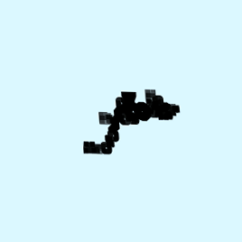 CCC(CCOCCOC)c1cc(O)c(C(c2cccc(NS(=O)(=O)c3cn(C)cn3)c2)C2CC2)c(=O)o1